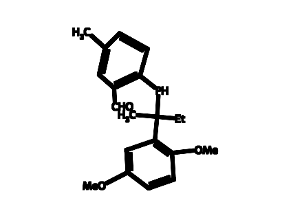 CCC(C)(Pc1ccc(C)cc1C=O)c1cc(OC)ccc1OC